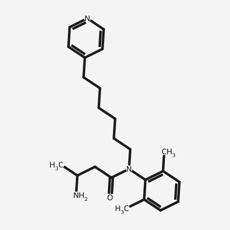 Cc1cccc(C)c1N(CCCCCCc1ccncc1)C(=O)CC(C)N